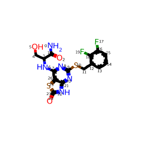 NC(=O)C(CO)Nc1nc(SCc2cccc(F)c2F)nc2[nH]c(=O)sc12